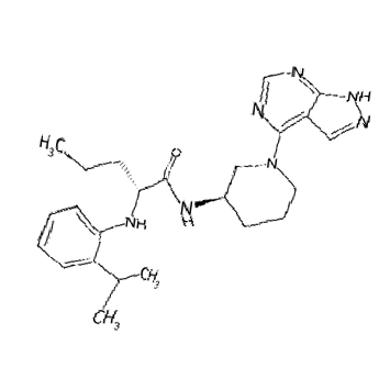 CCC[C@@H](Nc1ccccc1C(C)C)C(=O)N[C@@H]1CCCN(c2ncnc3[nH]ncc23)C1